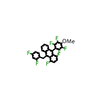 COc1c(F)c(F)c(-c2c3ccccc3c(Cc3ccc(F)cc3F)c3c(F)ccc(F)c23)c(F)c1F